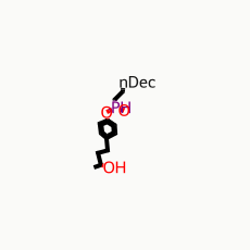 CCCCCCCCCCCC[PH](=O)Oc1ccc(CCC(C)O)cc1